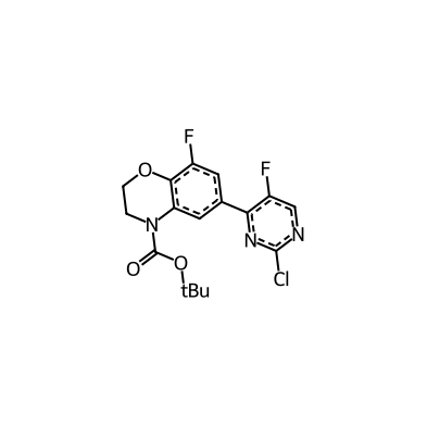 CC(C)(C)OC(=O)N1CCOc2c(F)cc(-c3nc(Cl)ncc3F)cc21